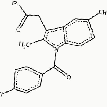 Cc1ccc2c(c1)c(CC(=O)C(C)C)c(C)n2C(=O)c1ccc(Cl)cc1